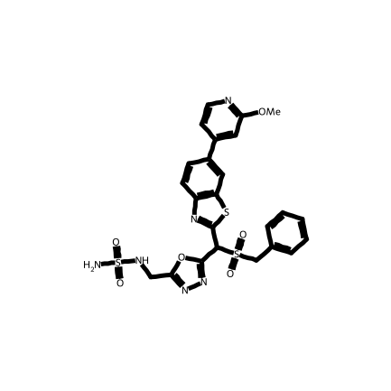 COc1cc(-c2ccc3nc(C(c4nnc(CNS(N)(=O)=O)o4)S(=O)(=O)Cc4ccccc4)sc3c2)ccn1